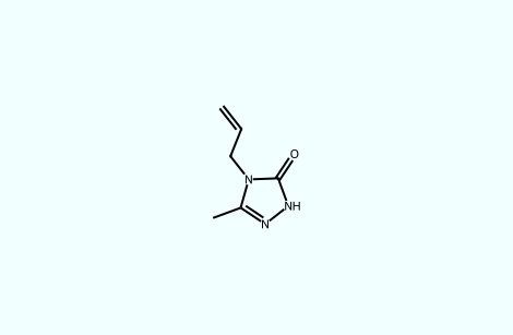 C=CCn1c(C)n[nH]c1=O